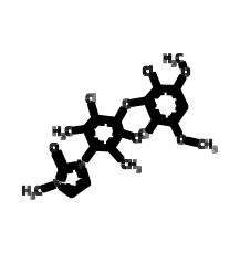 COc1cc(OC)c(Cl)c(Oc2c(Cl)c(C)c(-n3ccn(C)c3=O)c(C)c2Cl)c1Cl